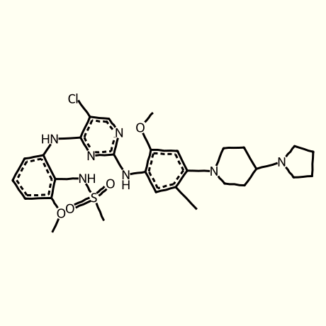 COc1cc(N2CCC(N3CCCC3)CC2)c(C)cc1Nc1ncc(Cl)c(Nc2cccc(OC)c2NS(C)(=O)=O)n1